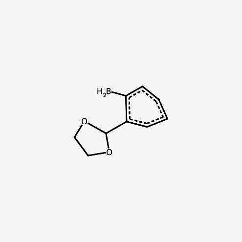 Bc1ccccc1C1OCCO1